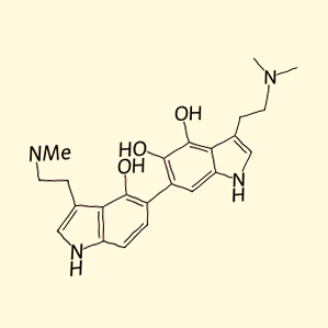 CNCCc1c[nH]c2ccc(-c3cc4[nH]cc(CCN(C)C)c4c(O)c3O)c(O)c12